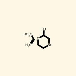 C=CC(=O)O.CCC1CNCCO1